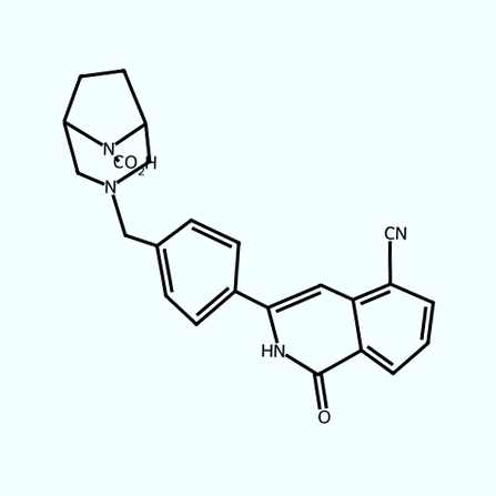 N#Cc1cccc2c(=O)[nH]c(-c3ccc(CN4CC5CCC(C4)N5C(=O)O)cc3)cc12